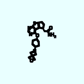 NC(=O)C[C@H]1CCc2sc3ncnc(O[C@H]4CC[C@H](N5CC6(COC6)C5)CC4)c3c21